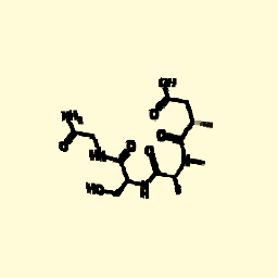 C[C@@H](CC(=O)O)C(=O)N(C)[C@@H](C)C(=O)N[C@@H](CO)C(=O)NCC(N)=O